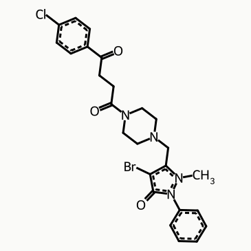 Cn1c(CN2CCN(C(=O)CCC(=O)c3ccc(Cl)cc3)CC2)c(Br)c(=O)n1-c1ccccc1